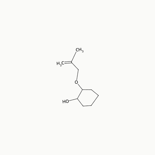 C=C(C)COC1CCCCC1O